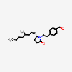 CCCC/C(C)=C/C=C\[C@H]1CCC(=O)N1CCc1ccc(C=O)cc1